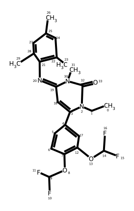 CCn1c(-c2ccc(OC(F)F)c(OC(F)F)c2)c/c(=N/c2c(C)cc(C)cc2C)n(C)c1=O